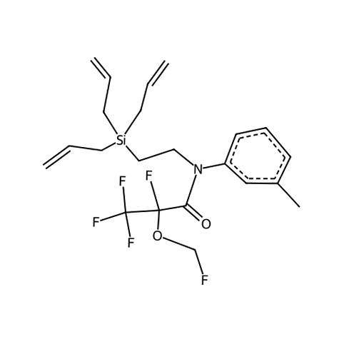 C=CC[Si](CC=C)(CC=C)CCN(C(=O)C(F)(OCF)C(F)(F)F)c1cccc(C)c1